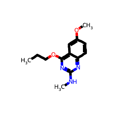 CCCOc1nc(NC)nc2ccc(OC)cc12